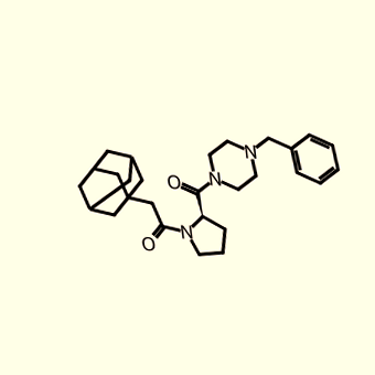 O=C([C@H]1CCCN1C(=O)CC12CC3CC(CC(C3)C1)C2)N1CCN(Cc2ccccc2)CC1